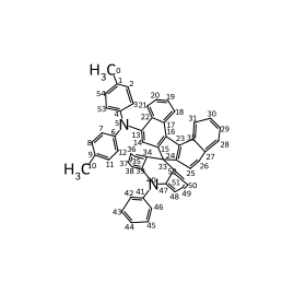 Cc1ccc(N(c2ccc(C)cc2)c2cc3c(c4ccccc24)-c2c(ccc4ccccc24)C32c3ccccc3N(c3ccccc3)c3ccccc32)cc1